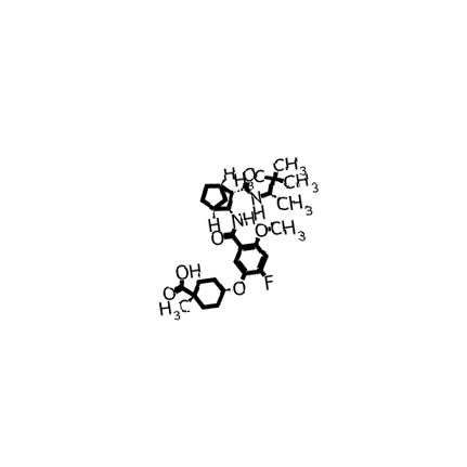 COc1cc(F)c(O[C@H]2CC[C@@](C)(C(=O)O)CC2)cc1C(=O)N[C@@H]1[C@H]2CC[C@H](C2)[C@@H]1C(=O)N[C@@H](C)C(C)(C)C